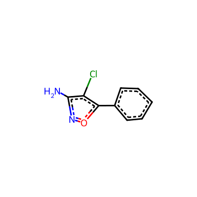 Nc1noc(-c2ccccc2)c1Cl